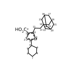 O=C(O)c1sc(C2CCCCC2)nc1CCC12CC3CC(CC(C3)C1)C2